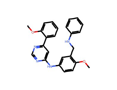 COc1ccc(Nc2cc(-c3ccccc3OC)ncn2)cc1CNc1ccccc1